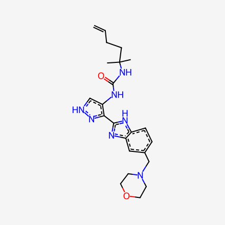 C=CCCC(C)(C)NC(=O)Nc1c[nH]nc1-c1nc2cc(CN3CCOCC3)ccc2[nH]1